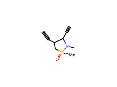 C#CC1CP(=O)(OC)N(C)C1C#C